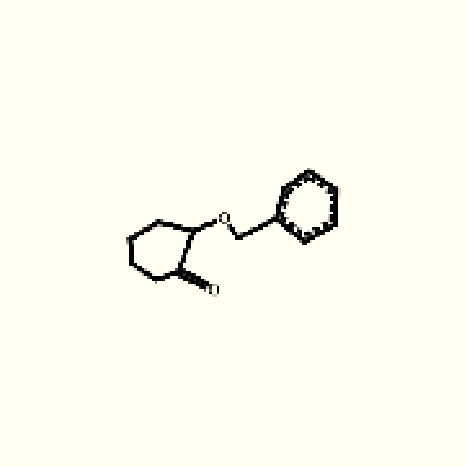 O=C1CCCCC1OCc1ccccc1